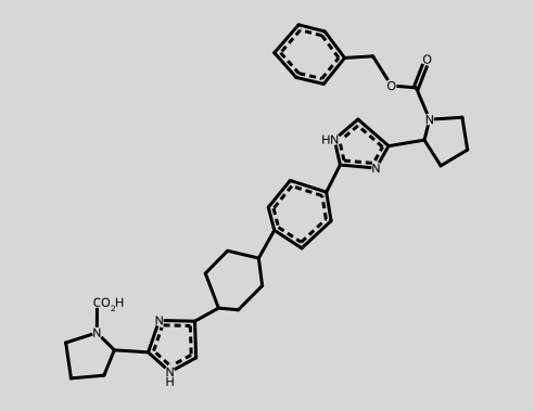 O=C(OCc1ccccc1)N1CCCC1c1c[nH]c(-c2ccc(C3CCC(c4c[nH]c(C5CCCN5C(=O)O)n4)CC3)cc2)n1